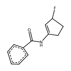 O=C(NC1=CC(F)CC1)c1ccccc1